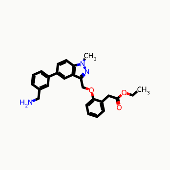 CCOC(=O)Cc1ccccc1OCc1nn(C)c2ccc(-c3cccc(CN)c3)cc12